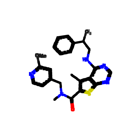 COc1cc(CN(C)C(=O)c2sc3ncnc(NCC(c4ccccc4)C(F)(F)F)c3c2C)ccn1